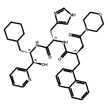 O=C(N[C@@H](Cc1c[nH]cn1)C(=O)N[C@@H](CC1CCCCC1)[C@@H](O)c1ccccn1)[C@@H](CC(=O)N1CCOCC1)Cc1cccc2ccccc12